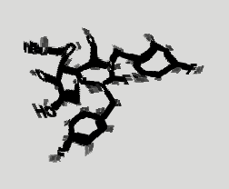 CCCCOc1c2n(cc(O)c1=O)N(Cc1ccc(F)cc1)C(F)N(Cc1ccc(F)cc1)C2=O